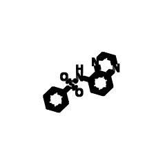 O=S(=O)(Nc1cccc2nccnc12)c1ccccc1